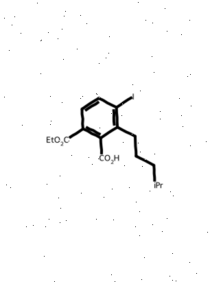 CCOC(=O)c1ccc(I)c(CCCC(C)C)c1C(=O)O